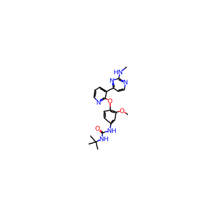 CNc1nccc(-c2cccnc2Oc2ccc(NC(=O)NC(C)(C)C)cc2OC)n1